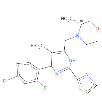 CCOC(=O)C1=C(CN2CCOC[C@H]2C(=O)O)NC(c2nccs2)=NC1c1ccc(Cl)cc1Cl